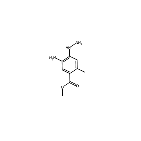 COC(=O)c1cc(N)c(NN)cc1C